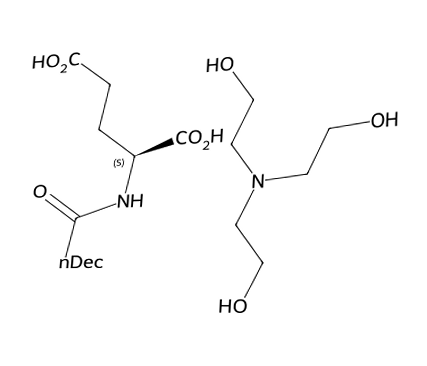 CCCCCCCCCCC(=O)N[C@@H](CCC(=O)O)C(=O)O.OCCN(CCO)CCO